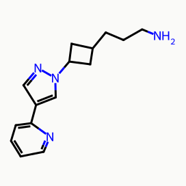 NCCCC1CC(n2cc(-c3ccccn3)cn2)C1